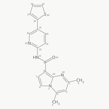 Cc1cc(C)n2ccc(C(=O)Nc3ccc(-c4cccs4)cn3)c2n1